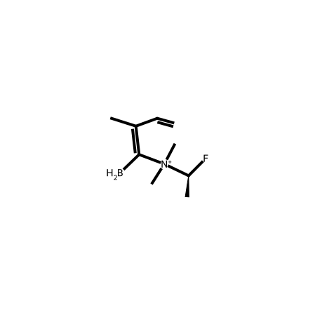 B/C(=C(\C)C=C)[N+](C)(C)[C@H](C)F